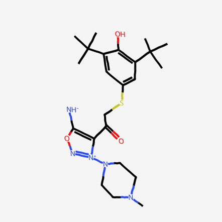 CN1CCN([n+]2noc([NH-])c2C(=O)CSc2cc(C(C)(C)C)c(O)c(C(C)(C)C)c2)CC1